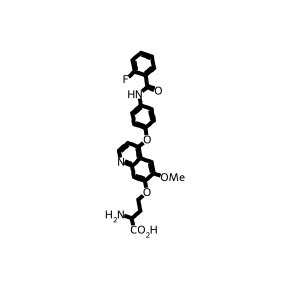 COc1cc2c(Oc3ccc(NC(=O)c4ccccc4F)cc3)ccnc2cc1OCCC(N)C(=O)O